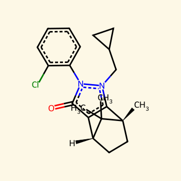 CC1(C)[C@@H]2CC[C@@]1(C)c1c2c(=O)n(-c2ccccc2Cl)n1CC1CC1